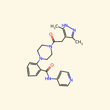 Cc1n[nH]c(C)c1CC(=O)N1CCN(c2ccccc2C(=O)Nc2ccncc2)CC1